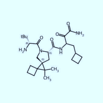 CC(C)(C)[C@@H](N)C(=O)N1C[C@@]2(C[C@H]1C(=O)NC(CC1CCC1)C(=O)C(N)=O)C(C)(C)C21CCC1